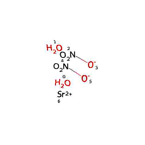 O.O.O=[N+]([O-])[O-].O=[N+]([O-])[O-].[Sr+2]